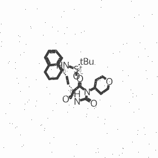 CC(C)(C)[S@+]([O-])N[C@@]1(CC[C@H]2C(=O)NC(=O)N(C3CCOCC3)C2=O)CCCc2ccccc21